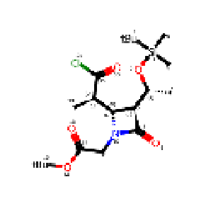 C[C@@H](O[Si](C)(C)C(C)(C)C)[C@H]1C(=O)N(CC(=O)OC(C)(C)C)[C@@H]1[C@@H](C)C(=O)Cl